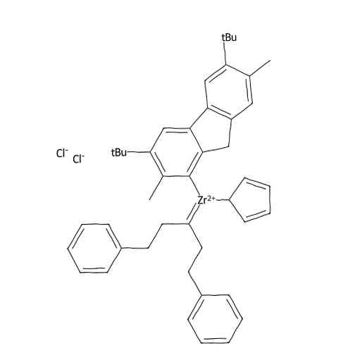 Cc1cc2c(cc1C(C)(C)C)-c1cc(C(C)(C)C)c(C)[c]([Zr+2](=[C](CCc3ccccc3)CCc3ccccc3)[CH]3C=CC=C3)c1C2.[Cl-].[Cl-]